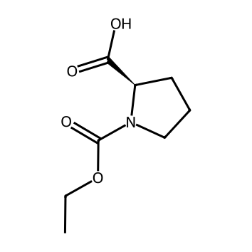 CCOC(=O)N1CCC[C@@H]1C(=O)O